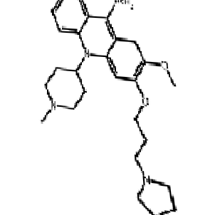 COC1=C(OCCCN2CCCC2)C=C2C(=C([AsH2])c3ccccc3N2C2CCN(C)CC2)C1